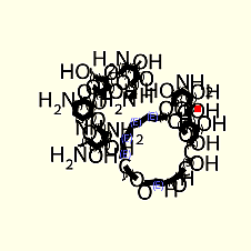 C[C@@H]1C/C=C/C=C/C=C/C=C/[C@H](O[C@@H]2O[C@H](C)[C@@H](O)[C@H](N)[C@@H]2O)C[C@@H]2O[C@](O)(C[C@@H](O)C[C@H]3O[C@@H]3/C=C/C(=O)O1)C[C@H](O)[C@H]2C(=O)O.NC[C@@H]1O[C@H](O[C@H]2[C@@H](O)[C@H](O[C@@H]3[C@@H](O)[C@H](N)C[C@H](N)[C@H]3O[C@H]3O[C@H](CN)[C@@H](O)[C@H](O)[C@H]3N)O[C@@H]2CO)[C@H](N)[C@@H](O)[C@@H]1O